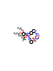 CCOc1cc(C(Nc2ccc3c(N)nccc3c2)(OC(=O)C(F)(F)F)C(=O)NCc2ccccc2S(=O)(=O)N2CCOCC2)ccc1OC(C)C